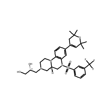 CC1(C)C=C(c2ccc3c(c2)N(S(=O)(=O)c2cccc(C(F)(F)F)c2)C[C@@H]2CN(C[C@@H](O)CO)CCN32)CC(C)(C)O1